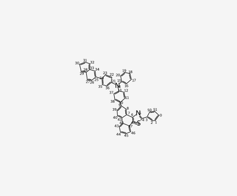 c1ccc(-c2nc3c4cc(-c5ccc(N(c6ccccc6)c6ccc(-c7ccc8ccccc8c7)cc6)cc5)ccc4c4ccccc4c3s2)cc1